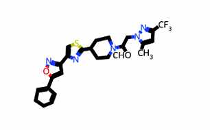 Cc1cc(C(F)(F)F)nn1CC(C=O)N1CCC(c2nc(-c3cc(C4=CCCC=C4)on3)cs2)CC1